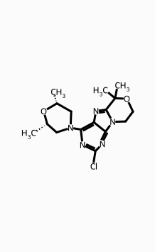 C[C@@H]1CN(c2nc(Cl)nc3c2nc2n3CCOC2(C)C)C[C@H](C)O1